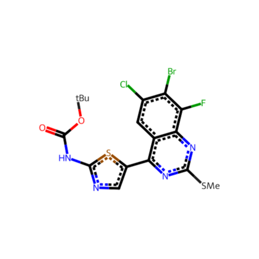 CSc1nc(-c2cnc(NC(=O)OC(C)(C)C)s2)c2cc(Cl)c(Br)c(F)c2n1